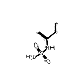 BS(=O)(=O)NC(=C)CC